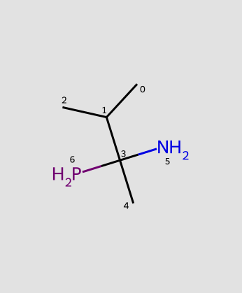 CC(C)C(C)(N)P